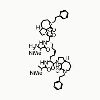 CN[C@@H](C)C(=O)N[C@@H](C/C=C\CC[C@H](NC(=O)[C@H](N)NC)C(=O)N1CC[C@H]2CCCN(CCc3ccccc3)C(=O)[C@H]21)C(=O)N1CC[C@H]2CCCN(CCc3ccccc3)C(=O)[C@H]21